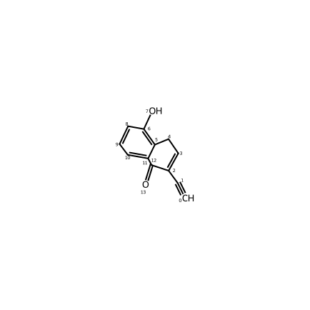 C#CC1=CCc2c(O)cccc2C1=O